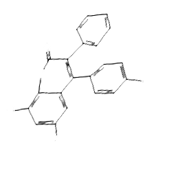 O=c1oc2c(Cl)cc(Cl)cc2c(-c2ccc(Cl)cc2)c1-c1ccccc1